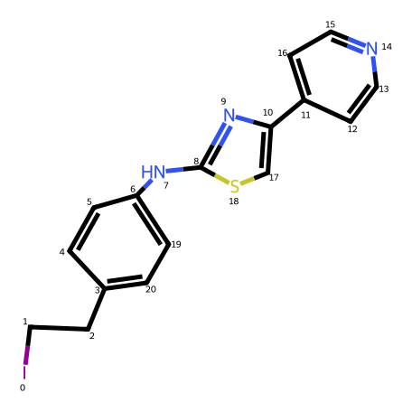 ICCc1ccc(Nc2nc(-c3ccncc3)cs2)cc1